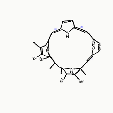 CC1=C(Br)C2(Br)N=C1/C=c1/cc/c([nH]1)=C/C1=NC(=C\C3(C)NC(C)(C(Br)=C3Br)C2C)/C=C1